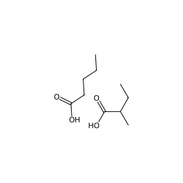 CCC(C)C(=O)O.CCCCC(=O)O